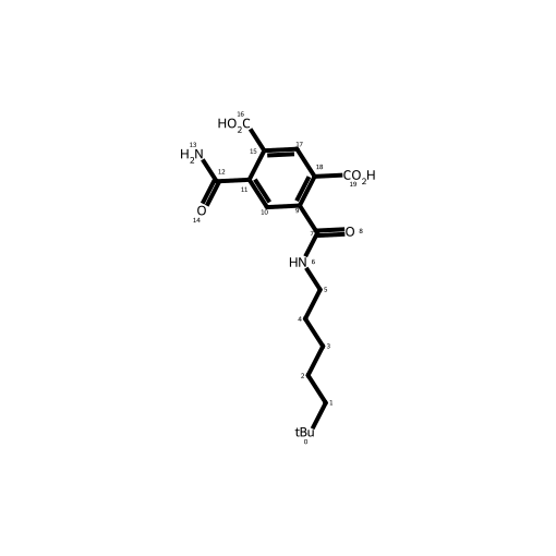 CC(C)(C)CCCCCNC(=O)c1cc(C(N)=O)c(C(=O)O)cc1C(=O)O